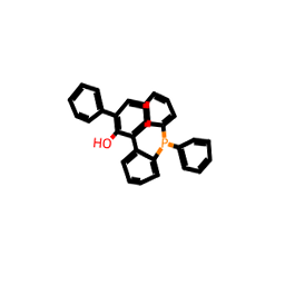 Oc1c(-c2ccccc2)cccc1-c1ccccc1P(c1ccccc1)c1ccccc1